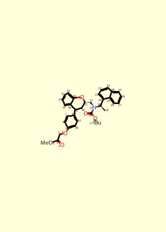 COC(=O)COc1ccc(C2C[C@@H](CN(C(=O)OC(C)(C)C)[C@H](C)c3cccc4ccccc34)Oc3ccccc32)cc1